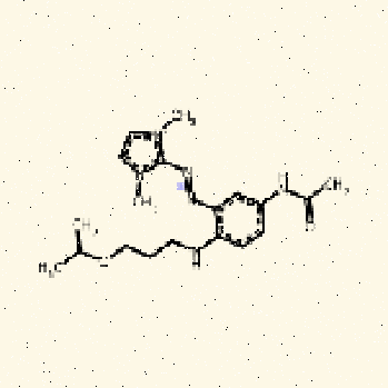 CC(=O)Nc1ccc(NCCCOC(C)C)c(/N=N/c2n(C)cc[n+]2C)c1